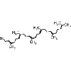 CC(C)=CCCC(C)=CCCC(C)=CCCC(C)=CCCC(C)=CCCC(C)=CCBr